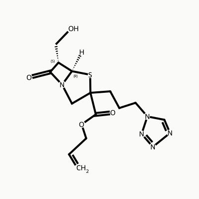 C=CCOC(=O)C1(CCCn2cnnn2)CN2C(=O)[C@H](CO)[C@H]2S1